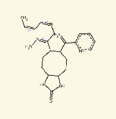 C=C(c1ccccn1)C1CCC2NC(=O)NC2CCC1/C(C/N=C\C=C/C)=N\N